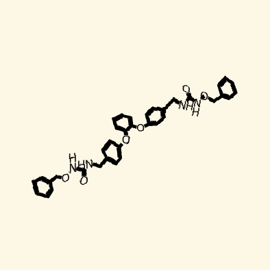 O=C(NCc1ccc(Oc2ccccc2Oc2ccc(CNC(=O)NOCc3ccccc3)cc2)cc1)NOCc1ccccc1